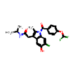 Cc1c(CC(=O)NC(C)C(=O)O)c2cc(O)c(F)cc2n1C(=O)c1ccc(OC(F)F)cc1